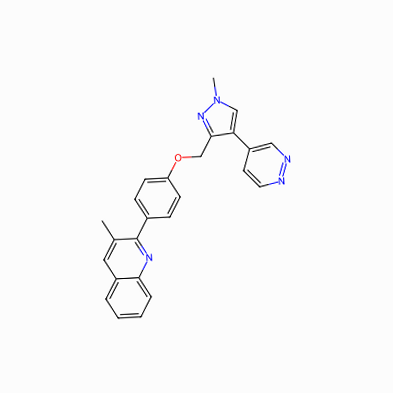 Cc1cc2ccccc2nc1-c1ccc(OCc2nn(C)cc2-c2ccnnc2)cc1